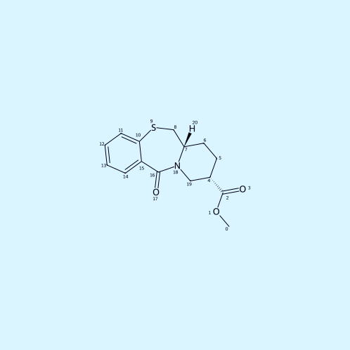 COC(=O)[C@H]1CC[C@H]2CSc3ccccc3C(=O)N2C1